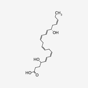 CC/C=C\C[C@H](O)/C=C/C=C\C/C=C\C/C=C\C=C\C(O)CCC(=O)O